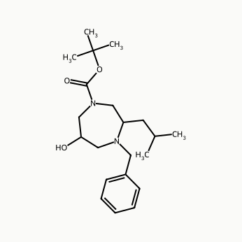 CC(C)CC1CN(C(=O)OC(C)(C)C)CC(O)CN1Cc1ccccc1